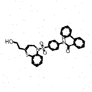 O=C(Nc1ccc(S(=O)(=O)N2CC=C(CCO)Sc3ccccc32)cc1)c1ccccc1-c1ccccc1